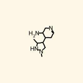 CC1NN(C)CC1C1CC=NCC1N